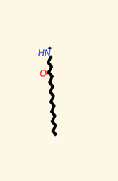 CCCCCCCCCCCCCC(=O)CCCNC